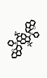 C[Si](C)(C)c1cc(N(c2ccccc2)c2ccc3ccc4cccc5oc2c3c45)c2ccc3c([Si](C)(C)C)cc(N(c4ccccc4)c4ccc5ccc6cccc7oc4c5c67)c4ccc1c2c43